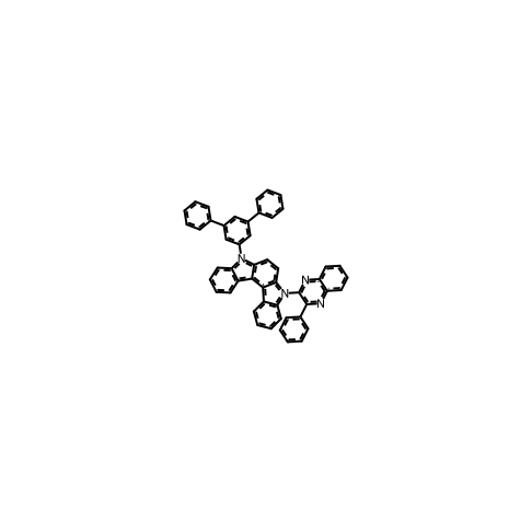 c1ccc(-c2cc(-c3ccccc3)cc(-n3c4ccccc4c4c5c6ccccc6n(-c6nc7ccccc7nc6-c6ccccc6)c5ccc43)c2)cc1